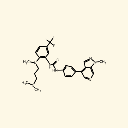 CN(C)CCCN(C)c1ccc(C(F)(F)F)cc1NC(=O)Nc1ccc(-c2cncc3c2cnn3C)cc1